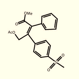 COC(=O)/C(=C(\COC(C)=O)c1ccc(S(C)(=O)=O)cc1)c1ccccc1